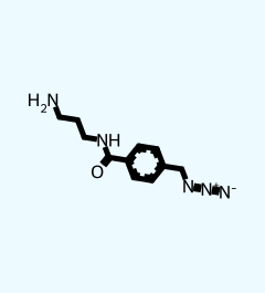 [N-]=[N+]=NCc1ccc(C(=O)NCCCN)cc1